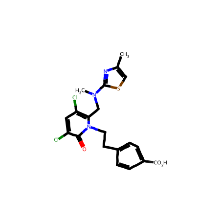 Cc1csc(N(C)Cc2c(Cl)cc(Cl)c(=O)n2CCc2ccc(C(=O)O)cc2)n1